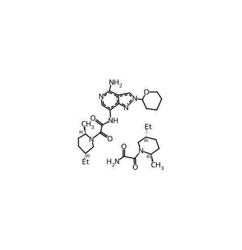 CC[C@@H]1CC[C@@H](C)N(C(=O)C(=O)Nc2cnc(N)c3cn(C4CCCCO4)nc23)C1.CC[C@@H]1CC[C@@H](C)N(C(=O)C(N)=O)C1